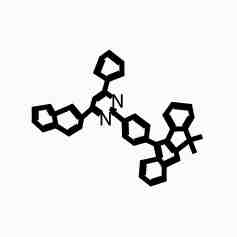 CC1(C)c2ccccc2-c2c1cc1ccccc1c2-c1ccc(-c2nc(-c3ccccc3)cc(-c3ccc4ccccc4c3)n2)cc1